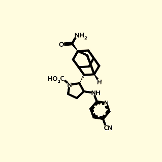 N#Cc1ccc(NC2CCN(C(=O)O)[C@@H]2C2C3CC4C[C@H]2C[C@@](C(N)=O)(C4)C3)nc1